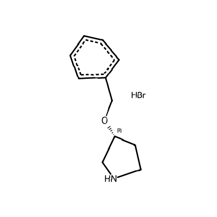 Br.c1ccc(CO[C@@H]2CCNC2)cc1